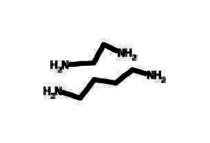 NCCCCN.NCCN